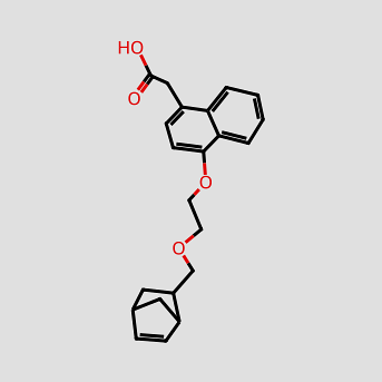 O=C(O)Cc1ccc(OCCOCC2CC3C=CC2C3)c2ccccc12